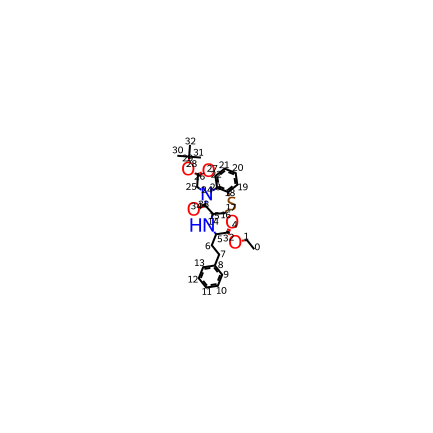 CCOC(=O)C(CCc1ccccc1)NC1CSc2ccccc2N(CC(=O)OC(C)(C)C)C1=O